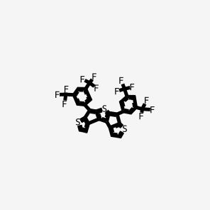 FC(F)(F)c1cc(C2=c3sc4c(c3-c3ccsc32)-c2ccsc2C=4c2cc(C(F)(F)F)cc(C(F)(F)F)c2)cc(C(F)(F)F)c1